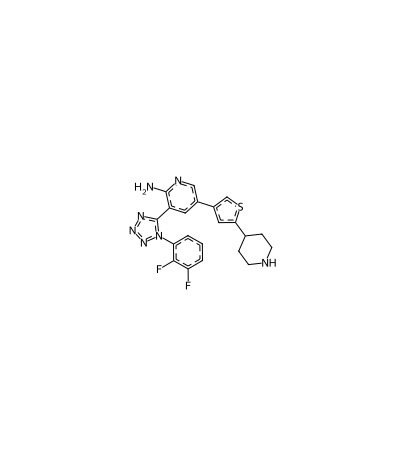 Nc1ncc(-c2csc(C3CCNCC3)c2)cc1-c1nnnn1-c1cccc(F)c1F